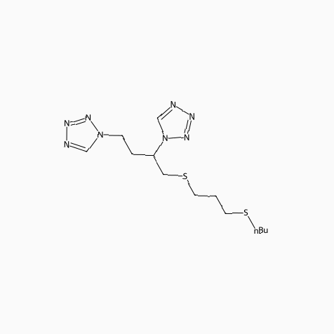 CCCCSCCCSCC(CCn1cnnn1)n1cnnn1